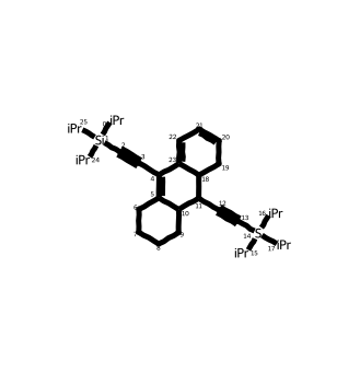 CC(C)[Si](C#CC1=C2CCCCC2C(C#CS(C(C)C)(C(C)C)C(C)C)C2CC=CC=C12)(C(C)C)C(C)C